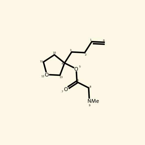 C=CCCC1(OC(=O)CNC)CCOC1